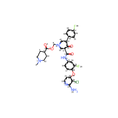 CN1CCC(C(=O)OCn2cc(C(=O)Nc3ccc(Oc4ccnc(N)c4Cl)c(F)c3)c(=O)c(-c3ccc(F)cc3)c2)CC1